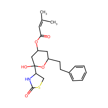 CC(C)=CC(=O)OC1CC(CCc2ccccc2)OC(O)(C2CSC(=O)N2)C1